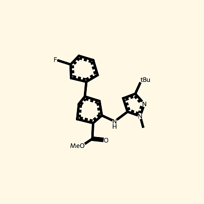 COC(=O)c1ccc(-c2cccc(F)c2)cc1Nc1cc(C(C)(C)C)nn1C